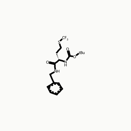 CC(C)(C)OC(=O)N[C@@H](CCSC(F)(F)F)C(=O)NCc1ccccc1